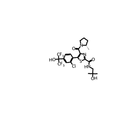 C[C@H]1CCCN1C(=O)c1nc(C(=O)NCC(C)(C)O)sc1-c1ccc(C(O)(C(F)(F)F)C(F)(F)F)cc1Cl